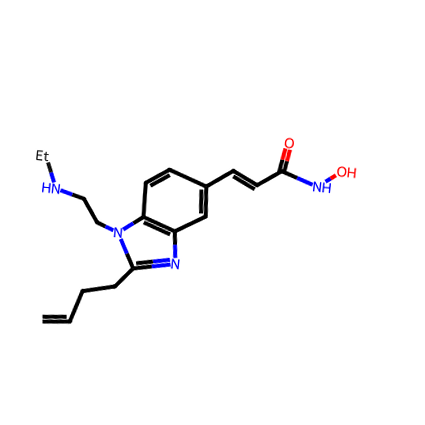 C=CCCc1nc2cc(C=CC(=O)NO)ccc2n1CCNCC